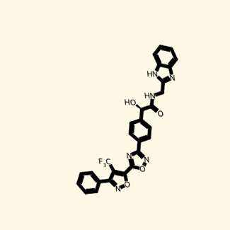 O=C(NCc1nc2ccccc2[nH]1)[C@H](O)c1ccc(-c2noc(-c3onc(-c4ccccc4)c3C(F)(F)F)n2)cc1